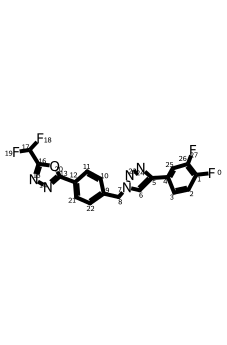 Fc1ccc(-c2cn(Cc3ccc(-c4nnc(C(F)F)o4)cc3)nn2)cc1F